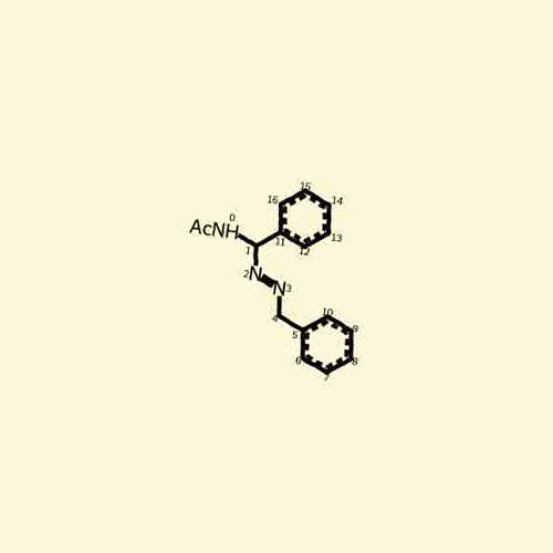 CC(=O)NC(N=NCc1ccccc1)c1ccccc1